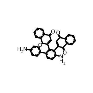 Nc1ccc(-c2ccc(N)c(C3=CC(=O)c4ccccc4C3=O)c2C2=CC(=O)c3ccccc3C2=O)cc1